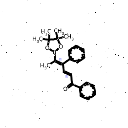 C/C(B1OC(C)(C)C(C)(C)O1)=C(\C=C\C(=O)c1ccccc1)c1ccccc1